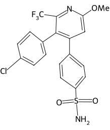 COc1cc(-c2ccc(S(N)(=O)=O)cc2)c(-c2ccc(Cl)cc2)c(C(F)(F)F)n1